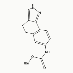 CC(C)(C)OC(=O)Nc1ccc2c(c1)CCc1c[nH]nc1-2